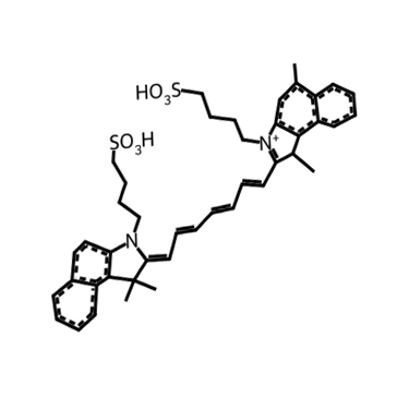 Cc1cc2c(c3ccccc13)C(C)C(C=CC=CC=CC=C1N(CCCCS(=O)(=O)O)c3ccc4ccccc4c3C1(C)C)=[N+]2CCCCS(=O)(=O)O